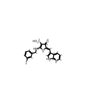 O=C(O)C1=C(NCc2cccc(F)c2)OC(=Cc2c[nH]c3ncccc23)C1=O